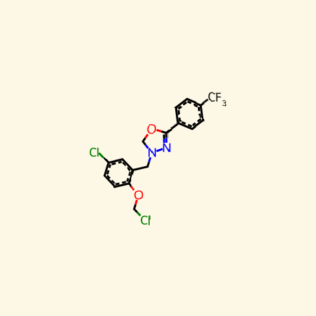 FC(F)(F)c1ccc(C2=NN(Cc3cc(Cl)ccc3OCCl)CO2)cc1